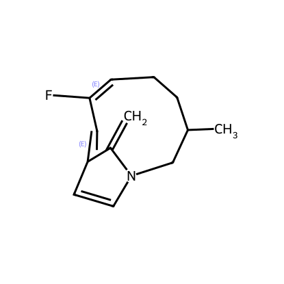 C=c1/c2ccn1CC(C)CC/C=C(F)\C=2